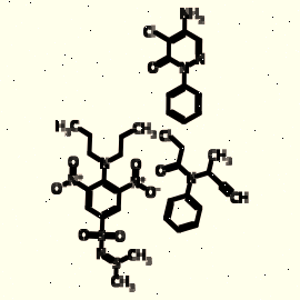 C#CC(C)N(C(=O)CCl)c1ccccc1.CCCN(CCC)c1c([N+](=O)[O-])cc(S(=O)(=O)N=S(C)C)cc1[N+](=O)[O-].Nc1cnn(-c2ccccc2)c(=O)c1Cl